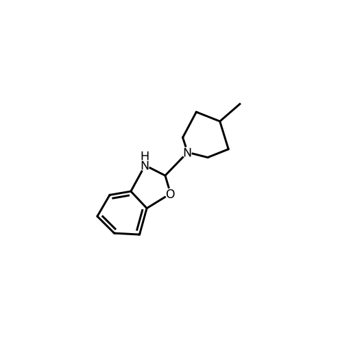 CC1CCN(C2Nc3ccccc3O2)CC1